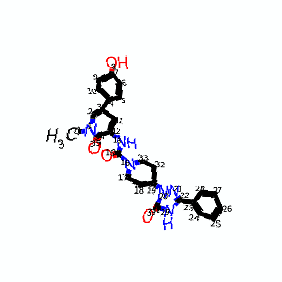 Cn1cc(-c2ccc(O)cc2)cc(NC(=O)N2CCC(n3nc(-c4ccccc4)[nH]c3=O)CC2)c1=O